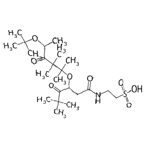 CC(OC(C)(C)C)C(=O)C(C)(C)C(C)(C)OC(CC(=O)NCCS(=O)(=O)O)C(=O)C(C)(C)C